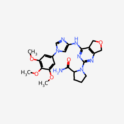 COc1cc(-n2cnc(Nc3nc(N4CCCC4C(N)=O)nc4c3COC4)c2)cc(OC)c1OC